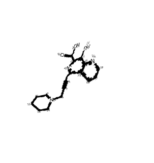 O=C(O)c1nc(C#CCN2CCCCC2)c2cccnc2c1O